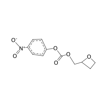 O=C(OCC1CCO1)Oc1ccc([N+](=O)[O-])cc1